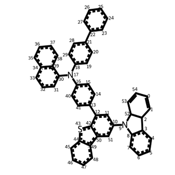 C1=CC2c3ccccc3N(c3cc(-c4ccc(N(c5ccc(-c6ccccc6)cc5)c5cccc6ccccc56)cc4)c4sc5ccccc5c4c3)C2C=C1